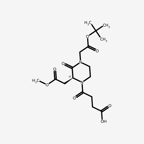 COC(=O)C[C@H]1C(=O)N(CC(=O)OC(C)(C)C)CCN1C(=O)CCC(=O)O